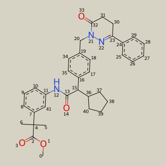 COC(=O)C(C)(C)c1cccc(NC(=O)C(c2ccc(CN3N=C(c4ccccc4)CCC3=O)cc2)C2CCCC2)c1